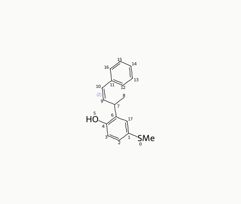 CSc1ccc(O)c(C(C)/C=C\c2ccccc2)c1